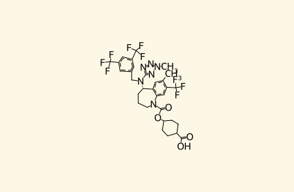 Cc1cc2c(cc1C(F)(F)F)N(C(=O)OC1CCC(C(=O)O)CC1)CCC[C@@H]2N(Cc1cc(C(F)(F)F)cc(C(F)(F)F)c1)c1nnn(C)n1